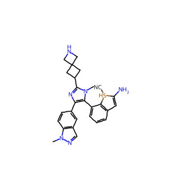 Cn1c(C2CC3(CNC3)C2)nc(-c2ccc3c(cnn3C)c2)c1-c1cccc2c1[SH](C#N)C(N)=C2